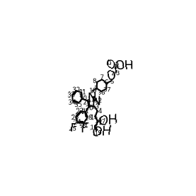 O=C(O)COCC1CCC(Cn2nc(CC[C@H](O)CO)c(-c3ccc(F)c(F)c3)c2-c2ccccc2)CC1